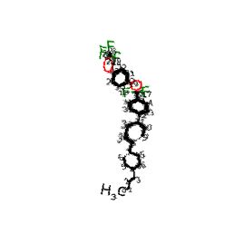 CCCC[C@H]1CC[C@H]([C@H]2CC[C@H](c3ccc(C(F)(F)Oc4ccc(OC(F)(F)F)cc4)cc3)CC2)CC1